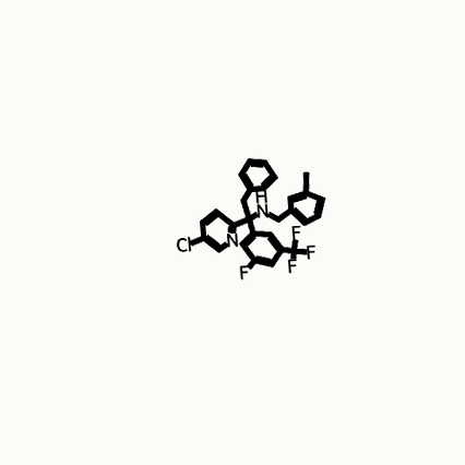 Cc1cccc(CNC(Cc2ccccc2)(c2cc(F)cc(C(F)(F)F)c2)c2ccc(Cl)cn2)c1